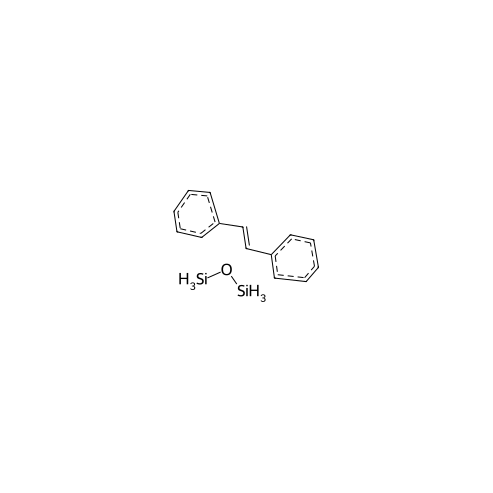 C(=Cc1ccccc1)c1ccccc1.[SiH3]O[SiH3]